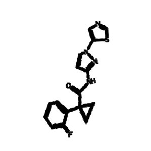 O=C(Nc1ccn(-c2cncs2)n1)C1(c2ccccc2F)CC1